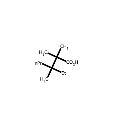 CCCC(C)(CC)C(C)(C)C(=O)O